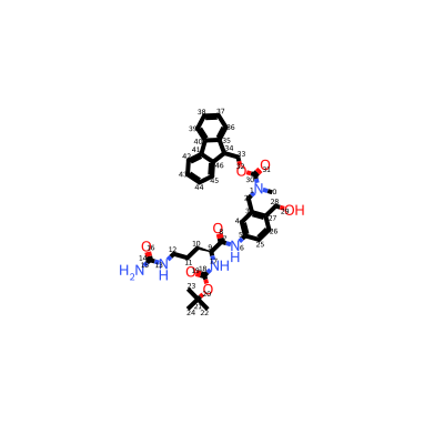 CN(Cc1cc(NC(=O)[C@H](CCCNC(N)=O)NC(=O)OC(C)(C)C)ccc1CO)C(=O)OCC1c2ccccc2-c2ccccc21